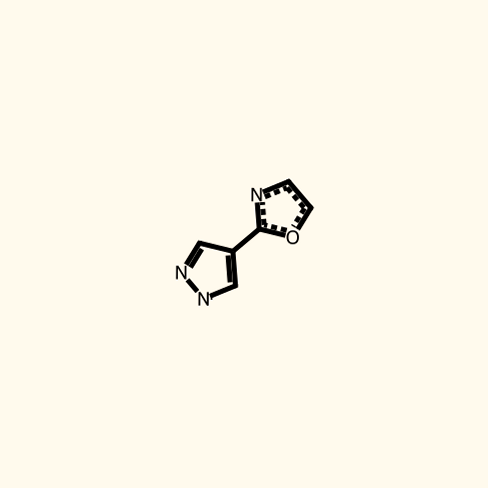 C1=N[N]C=C1c1ncco1